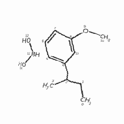 CCC(C)c1cccc(OC)c1.OBO